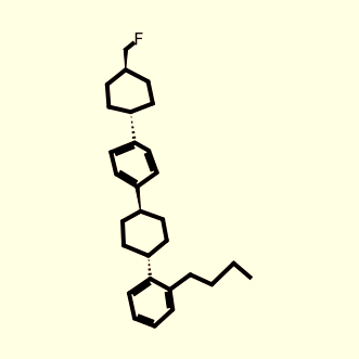 CCCCc1ccccc1[C@H]1CC[C@H](c2ccc([C@H]3CC[C@H](CF)CC3)cc2)CC1